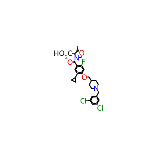 C[C@H]1OCN(C(=O)c2cc(C3CC3)c(OCC3CCN(Cc4cc(Cl)cc(Cl)c4)CC3)cc2F)C1C(=O)O